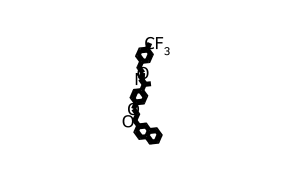 C/C(=N\OCc1ccc(C(F)(F)F)cc1)c1ccc(OCC(=O)c2ccc3ccccc3c2)cc1